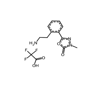 Cn1nc(-c2ccccc2CCN)oc1=O.O=C(O)C(F)(F)F